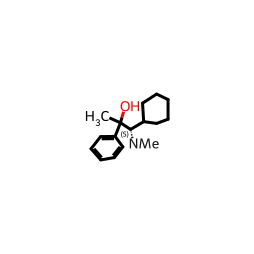 CN[C@@H](C1CCCCC1)C(C)(O)c1ccccc1